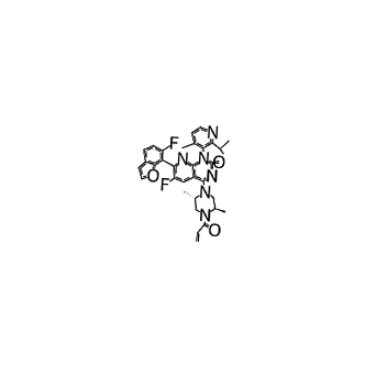 C=CC(=O)N1C[C@H](C)N(c2nc(=O)n(-c3c(C)ccnc3C(C)C)c3nc(-c4c(F)ccc5ccoc45)c(F)cc23)C[C@H]1C